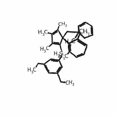 CCc1cc(CC)cc([SiH2]C2=C(C)C(C)=C(C)C2(CC2(C)C=CC=CC2)c2c(C)cccc2C)c1